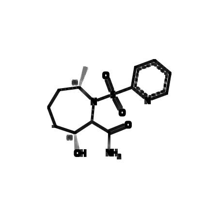 C[C@H]1CC[CH][C@@H](O)C(C(N)=O)N1S(=O)(=O)c1ccccn1